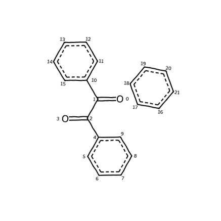 O=C(C(=O)c1ccccc1)c1ccccc1.c1ccccc1